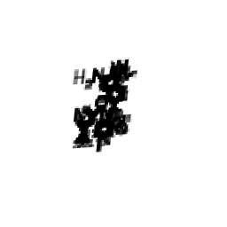 Cn1ncc2c(N)cc3cc(CN(C(=O)c4cncc(C5CC5)c4)c4ccc(F)cc4S(C)(=O)=O)ccc3c21